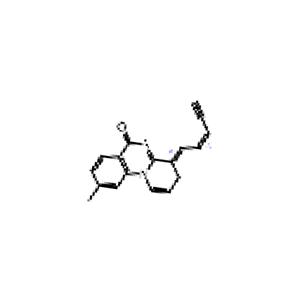 C#C/C=C\C=C1/CC=Cn2c1nc(=O)c1ccc(C)cc12